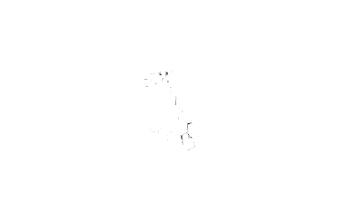 CCOP(=O)(OCC)OCCCCOC(=O)C1C2CCC(O2)C1C(=O)O